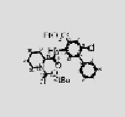 CCOC(=O)c1cc(Cl)c(-c2ccccc2)cc1NC(=O)C1CCCCN1C(=O)OC(C)(C)C